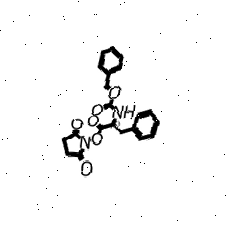 O=C(N[C@@H](Cc1ccccc1)C(=O)ON1C(=O)CCC1=O)OCc1ccccc1